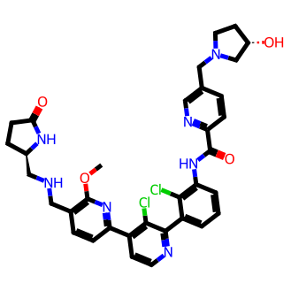 COc1nc(-c2ccnc(-c3cccc(NC(=O)c4ccc(CN5CC[C@H](O)C5)cn4)c3Cl)c2Cl)ccc1CNC[C@H]1CCC(=O)N1